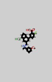 COc1cccc(C(C)NCc2cc(-c3ccc(F)c(C(=O)O)c3)c3ccccc3c2)c1.Cl